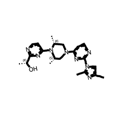 Cc1cn(-c2nccc(N3C[C@@H](C)N(c4ccnc([C@@H](C)O)n4)[C@@H](C)C3)n2)c(C)n1